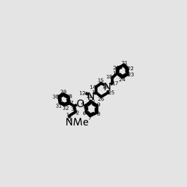 CNCCC(Oc1ccccc1N(C)C1CCN(CCc2ccccc2)CC1)c1ccccc1